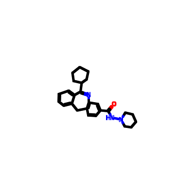 O=C(NN1CCCCC1)c1ccc2c(c1)N=C(C1CCCCC1)c1ccccc1C2